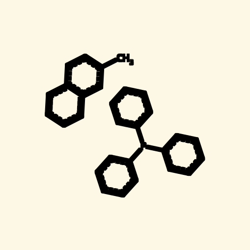 Cc1ccc2ccccc2c1.c1ccc(P(c2ccccc2)c2ccccc2)cc1